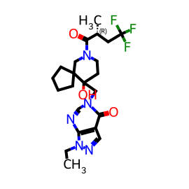 CCn1ncc2c(=O)n(CC3(O)CCN(C(=O)[C@H](C)CC(F)(F)F)CC34CCCC4)cnc21